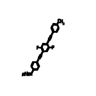 CCCCCCc1ccc(C#Cc2cc(F)c(C#Cc3ccc(C)cc3)cc2F)cc1